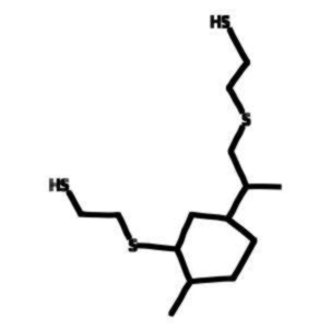 CC(CSCCS)C1CCC(C)C(SCCS)C1